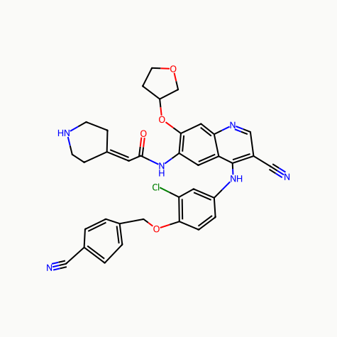 N#Cc1ccc(COc2ccc(Nc3c(C#N)cnc4cc(OC5CCOC5)c(NC(=O)C=C5CCNCC5)cc34)cc2Cl)cc1